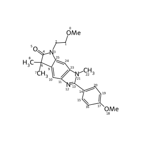 COCCN1C(=O)C(C)(C)c2cc3nc(-c4ccc(OC)cc4)n(C)c3cc21